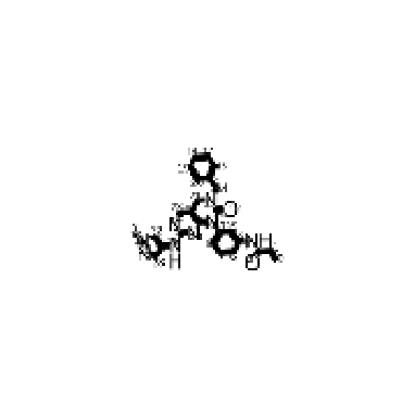 C=CC(=O)Nc1cccc(N2C(=O)N(Cc3ccccc3)Cc3cnc(Nc4cnn(C)c4)nc32)c1